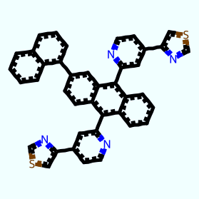 c1ccc2c(-c3ccc4c(-c5cc(-c6cscn6)ccn5)c5ccccc5c(-c5cc(-c6cscn6)ccn5)c4c3)cccc2c1